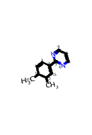 CC1C=CC(c2ncccn2)=CC1C